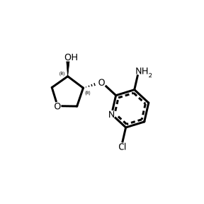 Nc1ccc(Cl)nc1O[C@@H]1COC[C@H]1O